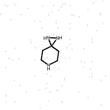 C1CC2(CCN1)NN2